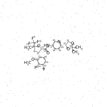 COc1c([C@@H]2C[C@](C)(C(F)(F)F)O[C@H]2C(=O)Nc2ccc([C@@H]3COC(C)(C)O3)nc2)ccc(F)c1F